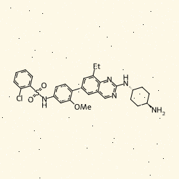 CCc1cc(-c2ccc(NS(=O)(=O)c3ccccc3Cl)cc2OC)cc2cnc(N[C@H]3CC[C@H](N)CC3)nc12